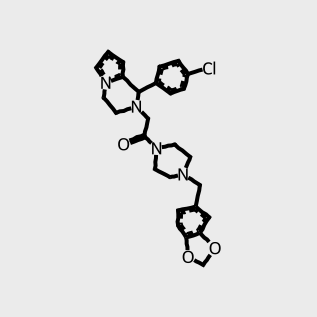 O=C(CN1CCn2cccc2C1c1ccc(Cl)cc1)N1CCN(Cc2ccc3c(c2)OCO3)CC1